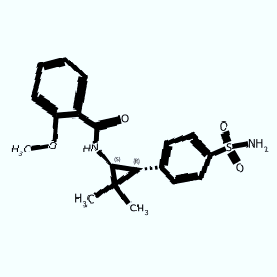 COc1ccccc1C(=O)N[C@H]1[C@H](c2ccc(S(N)(=O)=O)cc2)C1(C)C